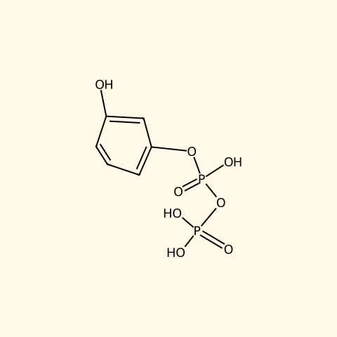 O=P(O)(O)OP(=O)(O)Oc1cccc(O)c1